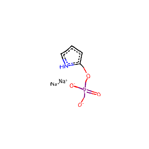 O=P([O-])([O-])Oc1ccc[nH]1.[Na+].[Na+]